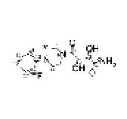 NC(=O)[C@H](O)[C@@H](O)C(=O)N1CCN(c2ccccc2F)CC1